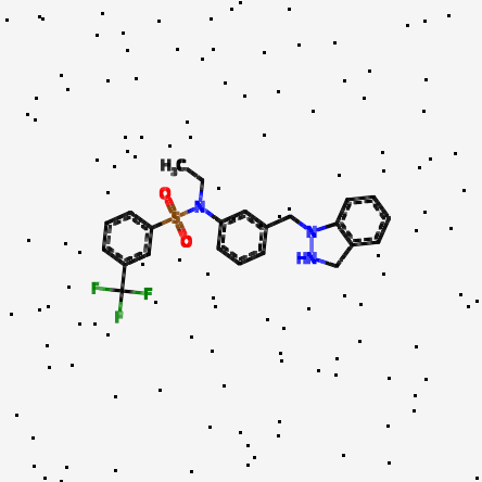 CCN(c1cccc(CN2NCc3ccccc32)c1)S(=O)(=O)c1cccc(C(F)(F)F)c1